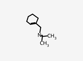 CC(C)=NCC1=CCCCC1